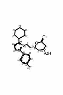 O=C1C[C@@H](O)C[C@H](CCn2c(-c3ccc(F)cc3)ccc2C2CCCCC2)O1